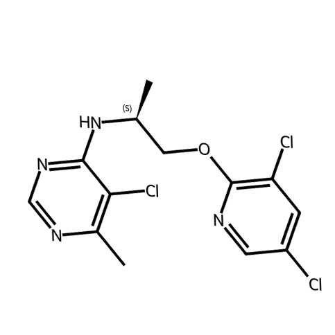 Cc1ncnc(N[C@@H](C)COc2ncc(Cl)cc2Cl)c1Cl